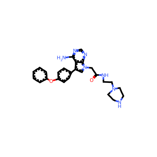 Nc1ncnc2c1c(-c1ccc(Oc3ccccc3)cc1)cn2CC(=O)NCCN1CCNCC1